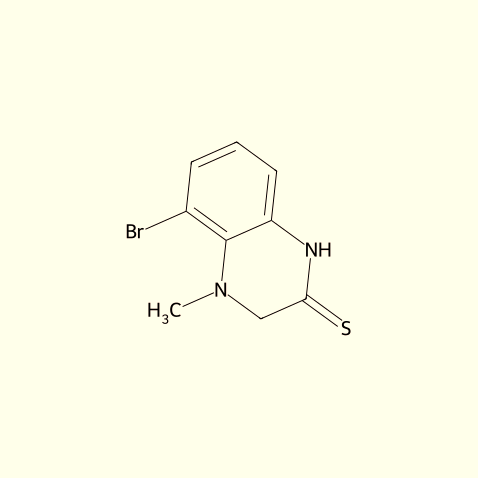 CN1CC(=S)Nc2cccc(Br)c21